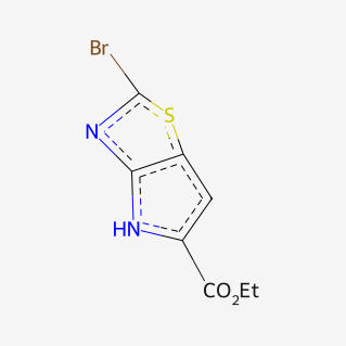 CCOC(=O)c1cc2sc(Br)nc2[nH]1